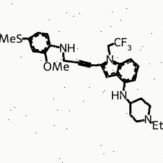 CCN1CCC(Nc2cccc3c2cc(C#CCNc2ccc(SC)cc2OC)n3CC(F)(F)F)CC1